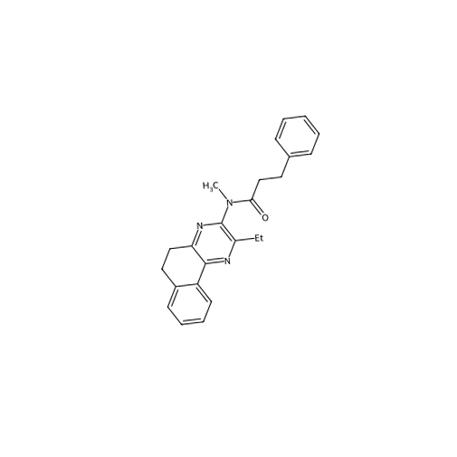 CCc1nc2c(nc1N(C)C(=O)CCc1ccccc1)CCc1ccccc1-2